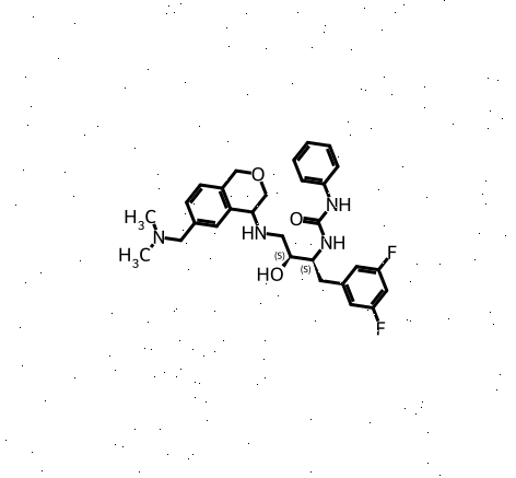 CN(C)Cc1ccc2c(c1)C(NC[C@H](O)[C@H](Cc1cc(F)cc(F)c1)NC(=O)Nc1ccccc1)COC2